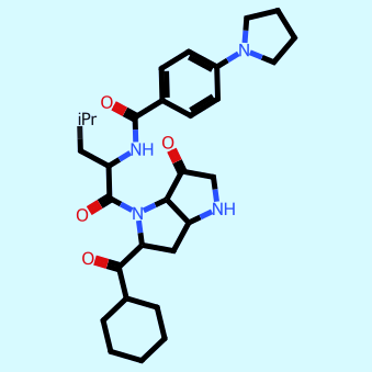 CC(C)CC(NC(=O)c1ccc(N2CCCC2)cc1)C(=O)N1C(C(=O)C2CCCCC2)CC2NCC(=O)C21